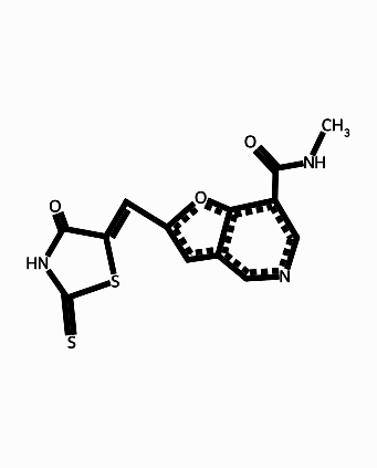 CNC(=O)c1cncc2cc(/C=C3\SC(=S)NC3=O)oc12